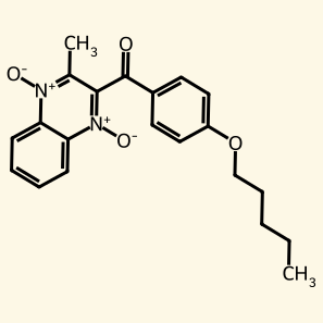 CCCCCOc1ccc(C(=O)c2c(C)[n+]([O-])c3ccccc3[n+]2[O-])cc1